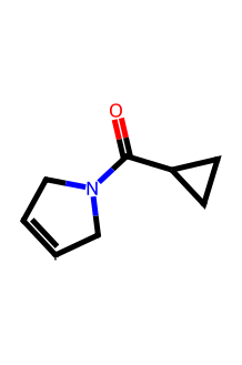 O=C(C1CC1)N1C[C]=CC1